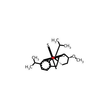 CO[C@H]1CC[C@]2(CC1)Cc1ccc(C(C)C)cc1C21NC(=S)N(C(C)C)C1=O